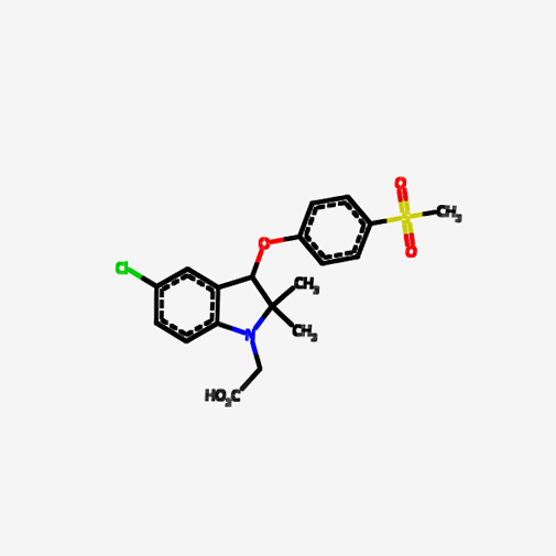 CC1(C)C(Oc2ccc(S(C)(=O)=O)cc2)c2cc(Cl)ccc2N1CC(=O)O